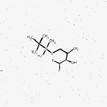 CC(CO[Si](C)(C)C(C)(C)C)[C@@H](O)C(F)F